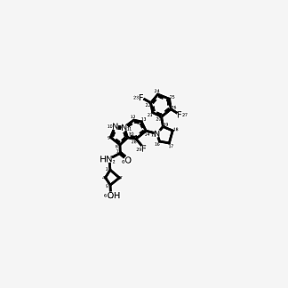 O=C(NC1CC(O)C1)c1cnn2ccc(N3CCCC3c3cc(F)ccc3F)c(F)c12